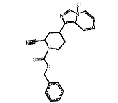 N#CC1CC(C2=C3C=NC=C[N+]3(Cl)C=N2)CCN1C(=O)OCc1ccccc1